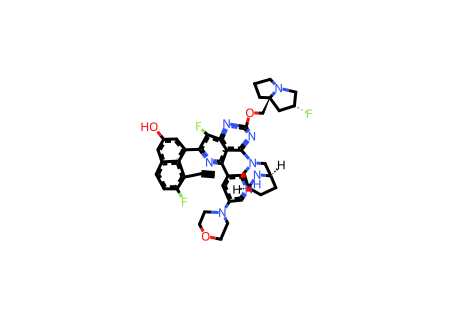 C#Cc1c(F)ccc2cc(O)cc(-c3nc(-c4cncc(N5CCOCC5)c4)c4c(N5C[C@H]6CC[C@@H](C5)N6)nc(OC[C@@]56CCCN5C[C@H](F)C6)nc4c3F)c12